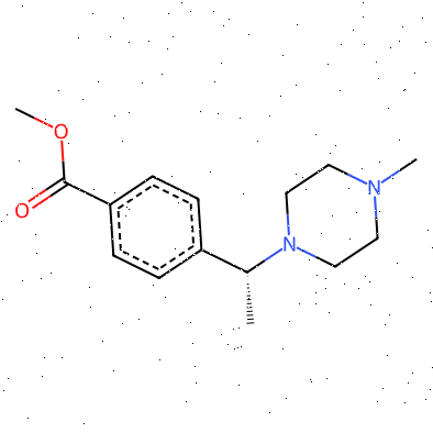 COC(=O)c1ccc([C@@H](C)N2CCN(C)CC2)cc1